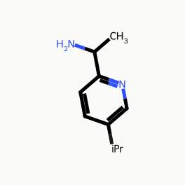 CC(C)c1ccc(C(C)N)nc1